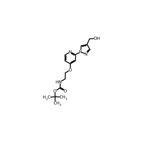 CC(C)(C)OC(=O)NCCOc1ccnc(-n2cc(CO)cn2)c1